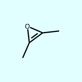 CC1=C(C)O1